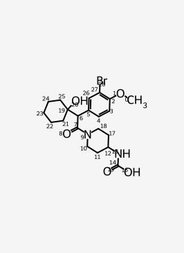 COc1ccc(C(C(=O)N2CCC(NC(=O)O)CC2)C2(O)CCCCC2)cc1Br